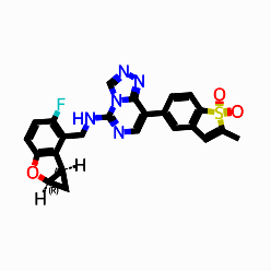 CC1=Cc2cc(-c3cnc(NCc4c(F)ccc5c4[C@H]4C[C@H]4O5)n4cnnc34)ccc2S1(=O)=O